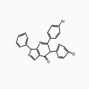 CC(=O)c1ccc(-c2nc3c(cnn3-c3ccccc3)c(=O)n2-c2ccc(Cl)cc2)cc1